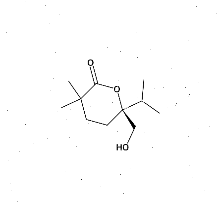 CC(C)[C@]1(CO)CCC(C)(C)C(=O)O1